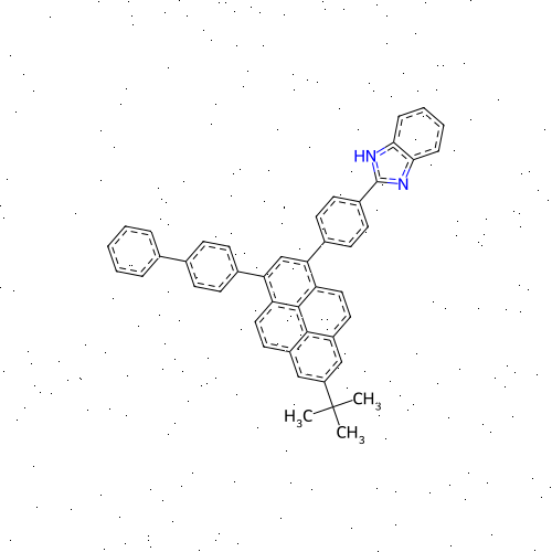 CC(C)(C)c1cc2ccc3c(-c4ccc(-c5ccccc5)cc4)cc(-c4ccc(-c5nc6ccccc6[nH]5)cc4)c4ccc(c1)c2c34